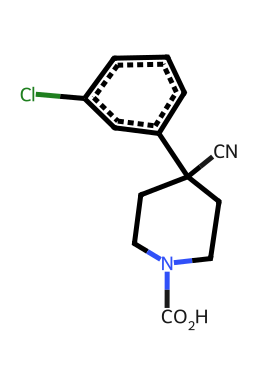 N#CC1(c2cccc(Cl)c2)CCN(C(=O)O)CC1